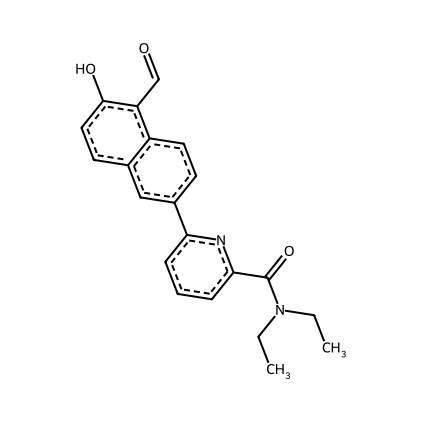 CCN(CC)C(=O)c1cccc(-c2ccc3c(C=O)c(O)ccc3c2)n1